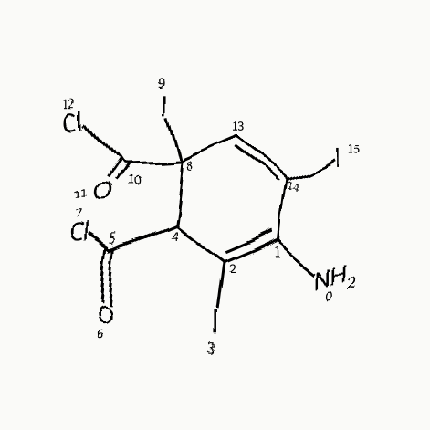 NC1=C(I)C(C(=O)Cl)C(I)(C(=O)Cl)C=C1I